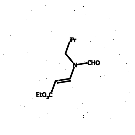 CCOC(=O)/C=C/N(C=O)CC(C)C